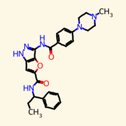 CCC(NC(=O)c1cc2[nH]nc(NC(=O)c3ccc(N4CCN(C)CC4)cc3)c2o1)c1ccccc1